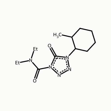 CCN(CC)C(=O)n1nnn(C2CCCCC2C)c1=O